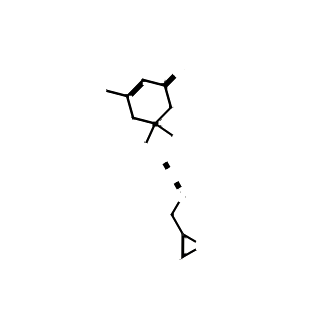 CC1=CC(=O)CC(C)(C)C1.O=C=NCC1CO1